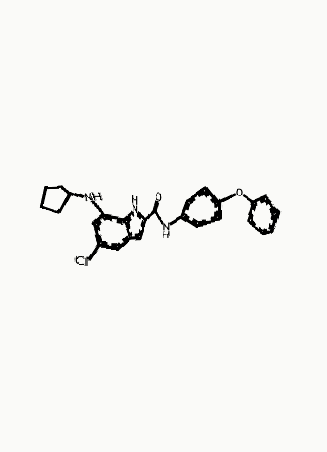 O=C(Nc1ccc(Oc2ccccc2)cc1)c1cc2cc(Cl)cc(NC3CCCC3)c2[nH]1